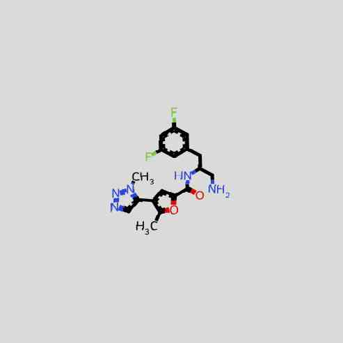 Cc1oc(C(=O)NC(CN)Cc2cc(F)cc(F)c2)cc1-c1cnnn1C